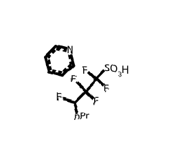 CCCC(F)C(F)(F)C(F)(F)S(=O)(=O)O.c1ccncc1